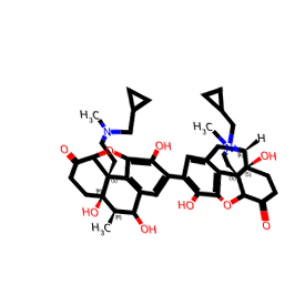 C[C@@H]1C(O)c2cc(-c3cc4c5c(c3O)OC3C(=O)CC[C@@]6(O)[C@@H](C4)[N+](C)(CC4CC4)CC[C@]536)c(O)c3c2[C@@]2(CCN(C)CC4CC4)C(O3)C(=O)CC[C@@]12O